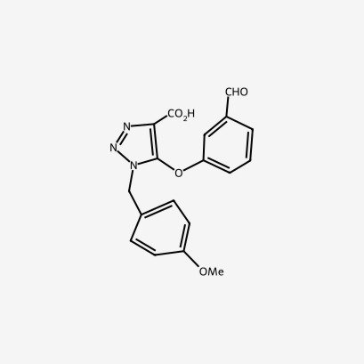 COc1ccc(Cn2nnc(C(=O)O)c2Oc2cccc(C=O)c2)cc1